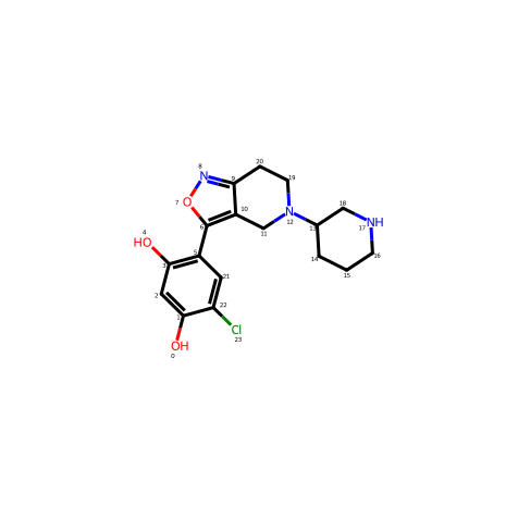 Oc1cc(O)c(-c2onc3c2CN(C2CCCNC2)CC3)cc1Cl